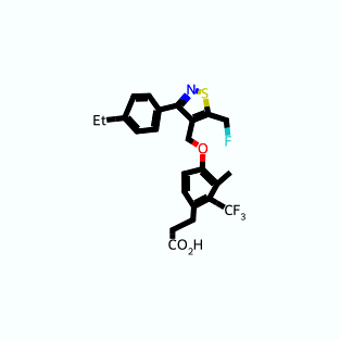 CCc1ccc(-c2nsc(CF)c2COc2ccc(CCC(=O)O)c(C(F)(F)F)c2C)cc1